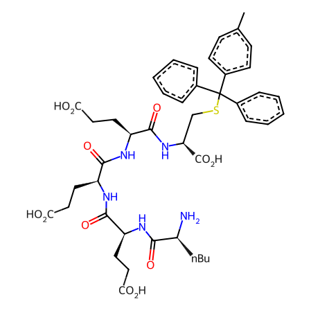 CCCC[C@H](N)C(=O)N[C@@H](CCC(=O)O)C(=O)N[C@@H](CCC(=O)O)C(=O)N[C@@H](CCC(=O)O)C(=O)N[C@@H](CSC(c1ccccc1)(c1ccccc1)c1ccc(C)cc1)C(=O)O